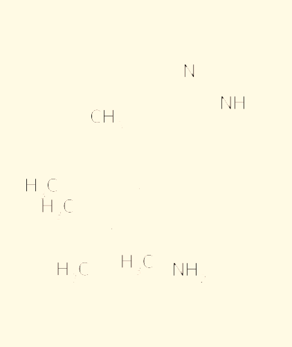 CC(C)C1(C(C)(C)C)c2cn[nH]c2CC1N